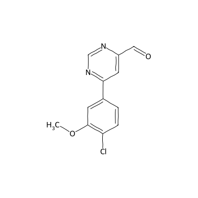 COc1cc(-c2cc(C=O)ncn2)ccc1Cl